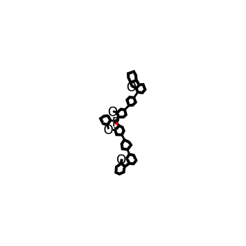 S=P12c3ccc(-c4ccc(-c5cccc6c5oc5ccccc56)cc4)cc3Oc3cccc(c31)Oc1cc(-c3ccc(-c4cccc5c4oc4ccccc45)cc3)ccc12